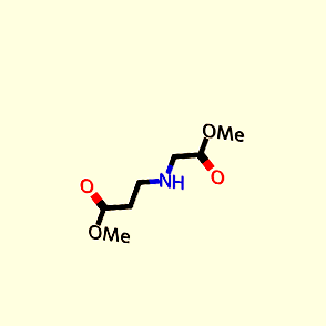 COC(=O)CCNCC(=O)OC